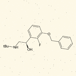 CC(C)(C)NC[C@H](O)c1cccc(OCc2ccccc2)c1F